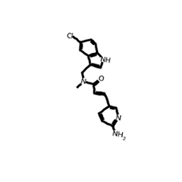 CN(Cc1c[nH]c2ccc(Cl)cc12)C(=O)C=Cc1ccc(N)nc1